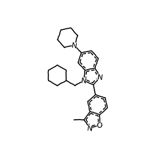 Cc1noc2ccc(-c3nc4ccc(N5CCCCC5)cc4n3CC3CCCCC3)cc12